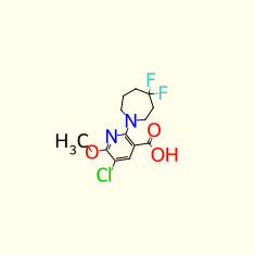 COc1nc(N2CCCC(F)(F)CC2)c(C(=O)O)cc1Cl